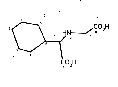 O=C(O)CNC(C(=O)O)C1CCCCC1